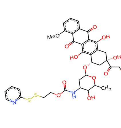 COc1cccc2c1C(=O)c1c(O)c3c(c(O)c1C2=O)C[C@@](O)(C(=O)CO)C[C@@H]3OC1CC(NC(=O)OCCSSc2ccccn2)C(O)C(C)O1